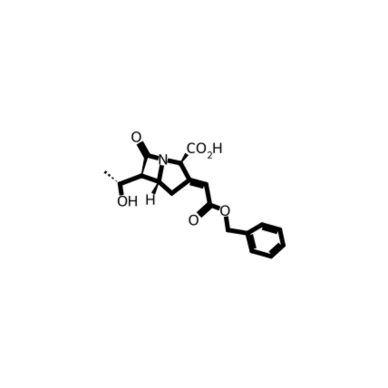 C[C@@H](O)[C@H]1C(=O)N2[C@@H](C(=O)O)C(=CC(=O)OCc3ccccc3)C[C@H]12